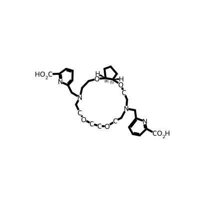 O=C(O)c1cccc(CN2CCOCCOCCN(Cc3cccc(C(=O)O)n3)CCO[C@@H]3CCC[C@@H]3OCC2)n1